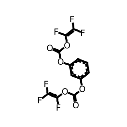 O=C(OC(F)=C(F)F)Oc1cccc(OC(=O)OC(F)=C(F)F)c1